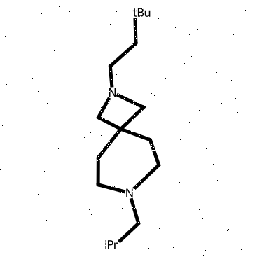 CC(C)CN1CCC2(CC1)CN(CCC(C)(C)C)C2